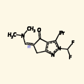 CC(C)c1c2c(nn1C(F)F)C/C(=C/N(C)C)C2=O